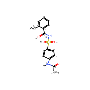 CNC(=O)N(C)c1ccc(S(=O)(=O)NC(=O)c2ccccc2OC)cc1